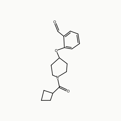 O=Cc1ccccc1OC1CCN(C(=O)C2CCC2)CC1